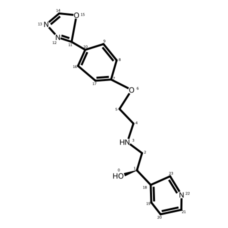 O[C@@H](CNCCOc1ccc(-c2nnco2)cc1)c1cccnc1